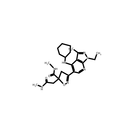 CCn1nc(C)c2c(NC3CCCCC3)c(C3=NOC(CC(=O)NC)(C(=O)NC)C3)cnc21